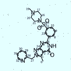 Cc1c2c(=O)[nH]c(-c3cccc(S(=O)(=O)N4CCN(C)CC4)c3)nc2nn1Cc1ccccn1